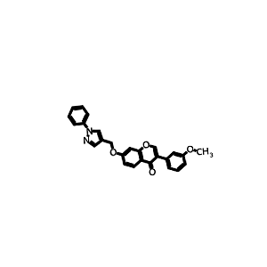 COc1cccc(-c2coc3cc(OCc4cnn(-c5ccccc5)c4)ccc3c2=O)c1